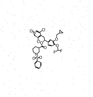 O=C(OC(Cc1c(Cl)c[n+]([O-])cc1Cl)c1ccc(OC(F)F)c(OCC2CC2)c1)C1CCCN(S(=O)(=O)c2ccccc2)C1